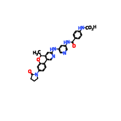 CC1Oc2cc(N3CCCC3=O)ccc2-c2cnc(Nc3cncc(NC(=O)c4ccc(NC(=O)O)cc4)c3)cc21